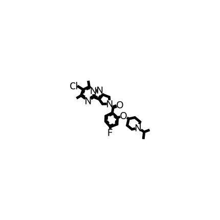 Cc1nc2c3c(nn2c(C)c1Cl)CN(C(=O)c1ccc(F)cc1OC1CCN(C(C)C)CC1)C3